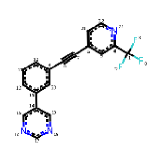 FC(F)(F)c1cc(C#Cc2cccc(-c3cncnc3)c2)ccn1